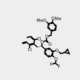 C=C/C(Cl)=C(C[C@H](OC(=O)OCc1ccc(OC)c(OC)c1)c1ccc(OC(F)F)c(OCC2CC2)c1)\C(Cl)=C/C